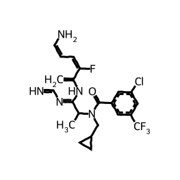 C=C(N/C(=N\C=N)C(C)N(CC1CC1)C(=O)c1cc(Cl)cc(C(F)(F)F)c1)/C(F)=C\C=C/N